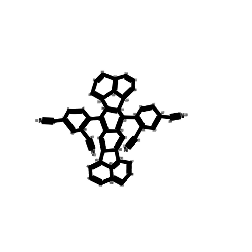 N#Cc1ccc(-c2c3cc4c(cc3c(-c3ccc(C#N)cc3C#N)c3c5cccc6cccc(c23)c65)c2cccc3cccc4c32)c(C#N)c1